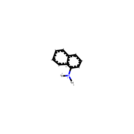 [2H]N([2H])c1cccc2ccccc12